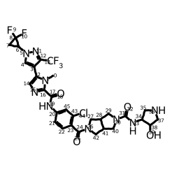 Cn1c(-c2cn(C3CC3(F)F)nc2C(F)(F)F)cnc1C(=O)Nc1ccc(C(=O)N2CC3CN(C(=O)NC4CNCC4O)CC3C2)c(Cl)c1